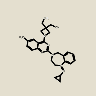 Cc1ccc2nc(N3CCS(=NC4CC4)c4ccccc4C3)nc(N3CC(CN)(CO)C3)c2c1